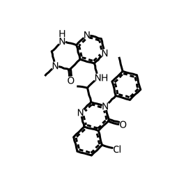 Cc1cccc(-n2c(C(C)Nc3ncnc4c3C(=O)N(C)CN4)nc3cccc(Cl)c3c2=O)c1